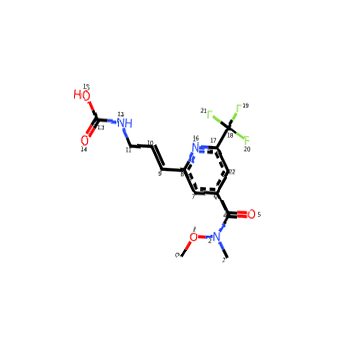 CON(C)C(=O)c1cc(C=CCNC(=O)O)nc(C(F)(F)F)c1